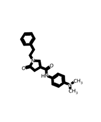 CN(C)c1ccc(NC(=O)C2CC(=O)N(CCc3ccccc3)C2)cc1